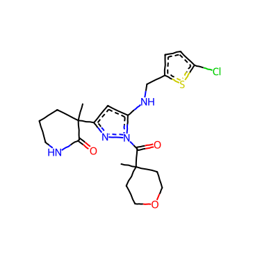 CC1(C(=O)n2nc(C3(C)CCCNC3=O)cc2NCc2ccc(Cl)s2)CCOCC1